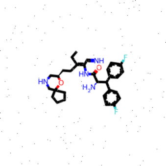 CC/C(CC[C@@H]1CNCC2(CCCC2)O1)=C(\C=N)NC(=O)[C@@H](N)C(c1ccc(F)cc1)c1ccc(F)cc1